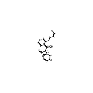 C=C(CC/C=C\C)C(/C=C\C)=C(\S)C1C2=C(C=CCC2)N1C